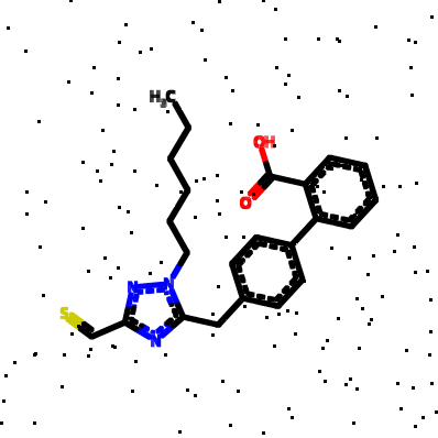 CCCCCCn1nc(C=S)nc1Cc1ccc(-c2ccccc2C(=O)O)cc1